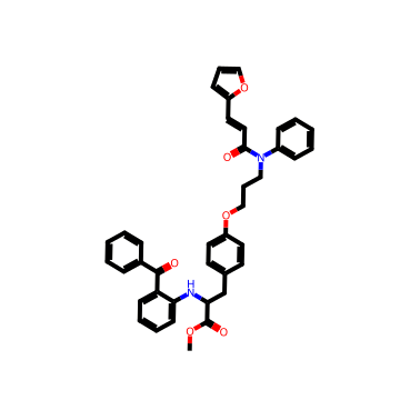 COC(=O)C(Cc1ccc(OCCCN(C(=O)C=Cc2ccco2)c2ccccc2)cc1)Nc1ccccc1C(=O)c1ccccc1